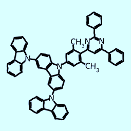 Cc1cc(-n2c3ccc(-n4c5ccccc5c5ccccc54)cc3c3cc(-n4c5ccccc5c5ccccc54)ccc32)cc(C)c1-c1cc(-c2ccccc2)nc(-c2ccccc2)n1